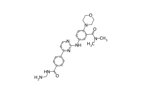 CN(C)C(=O)c1cc(Nc2nccc(-c3ccc(C(=O)NCN)cc3)n2)ccc1N1CCOCC1